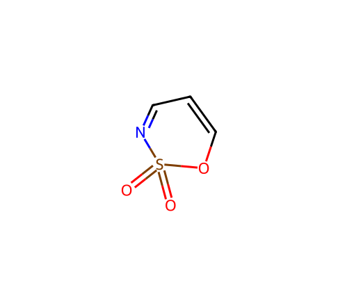 O=S1(=O)N=CC=CO1